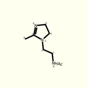 CC(=O)NCCN1CCN=C1C